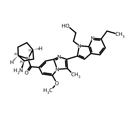 CCc1ccc2cc(-c3nc4cc(C(=O)N5[C@H]6CC[C@@H]5[C@H](N)C6)cc(OC)n4c3C)n(CCO)c2n1